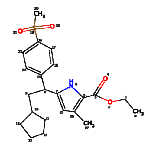 CCOC(=O)c1[nH]c(C(CC2CCCC2)c2ccc(S(C)(=O)=O)cc2)cc1C